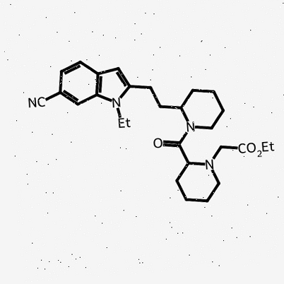 CCOC(=O)CN1CCCCC1C(=O)N1CCCCC1CCc1cc2ccc(C#N)cc2n1CC